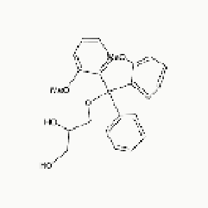 COc1ccccc1C(OCC(O)CO)(c1ccccc1)c1ccccc1OC